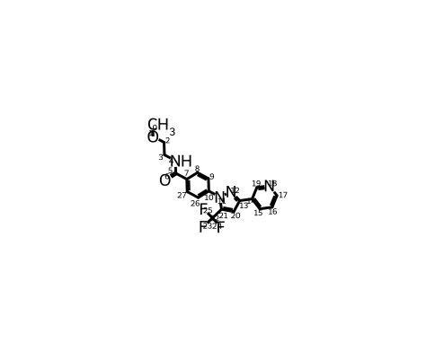 COCCNC(=O)c1ccc(-n2nc(-c3cccnc3)cc2C(F)(F)F)cc1